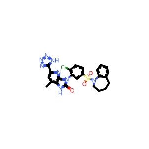 Cc1cc(-c2nnn[nH]2)nc2c1[nH]c(=O)n2-c1cc(S(=O)(=O)N2CCCCc3ccccc32)ccc1Cl